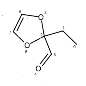 CCC1(C=O)OC=CO1